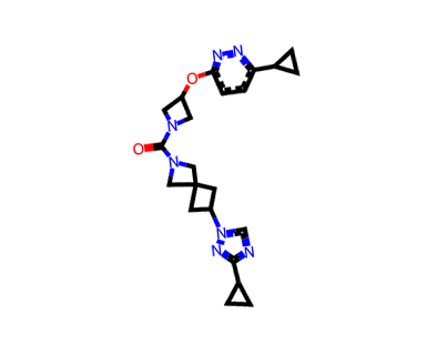 O=C(N1CC(Oc2ccc(C3CC3)nn2)C1)N1CC2(CC(n3cnc(C4CC4)n3)C2)C1